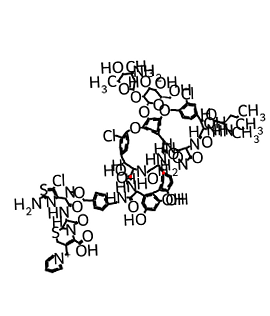 CN[C@H](CC(C)C)C(=O)NC1C(=O)NC(C(N)=O)C(=O)N[C@H]2C(=O)N[C@H]3C(=O)N[C@H](C(=O)NC(C(=O)NCc4ccc(CO/N=C(\C(=O)N[C@@H]5C(=O)N6C(C(=O)O)=C(C[n+]7ccccc7)CS[C@H]56)c5nc(N)sc5Cl)cc4)c4cc(O)cc(O)c4-c4cc3ccc4O)[C@H](O)c3ccc(c(Cl)c3)Oc3cc2cc(c3O[C@@H]2O[C@H](CO)[C@@H](O)[C@H](O)[C@H]2O[C@H]2C[C@](C)(N)[C@H](O)[C@H](C)O2)Oc2ccc(cc2Cl)[C@H]1O